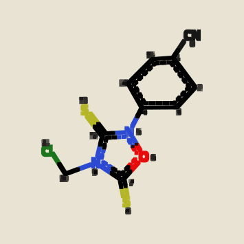 N#Cc1ccc(-n2oc(=S)n(CCl)c2=S)cc1